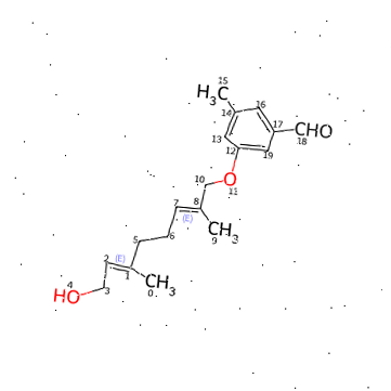 C/C(=C\CO)CC/C=C(\C)COc1cc(C)cc(C=O)c1